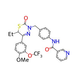 CCC1SC(=O)N(Cc2ccc(NC(=O)c3cccnc3)cc2)N=C1c1ccc(OC)c(OC(F)(F)F)c1